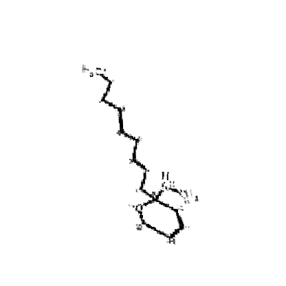 CCCCCCCCC[C]1([AlH][CH3])CCCCO1